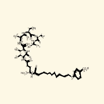 CC(=O)[C@H](C)NC(=O)[C@H](CO)NC(=O)[C@H](CO)NC(=O)[C@H](C)NC(=O)[C@H](CO)NC(=O)[C@H](CO)NC(=O)CC[C@H](NC(=O)CCCCCCCCCCOc1ccc(C(=O)O)cc1)C(=O)O